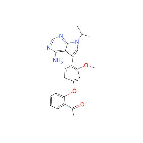 COc1cc(Oc2ccccc2C(C)=O)ccc1-c1cn(C(C)C)c2ncnc(N)c12